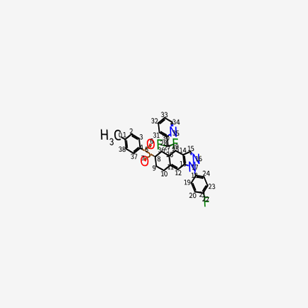 Cc1ccc(S(=O)(=O)[C@@H]2CCC3=Cc4c(cnn4-c4ccc(F)cc4)C[C@]3(C(F)(F)c3ccccn3)C2)cc1